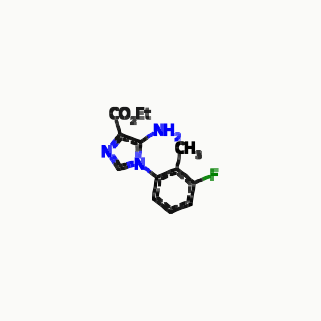 CCOC(=O)c1ncn(-c2cccc(F)c2C)c1N